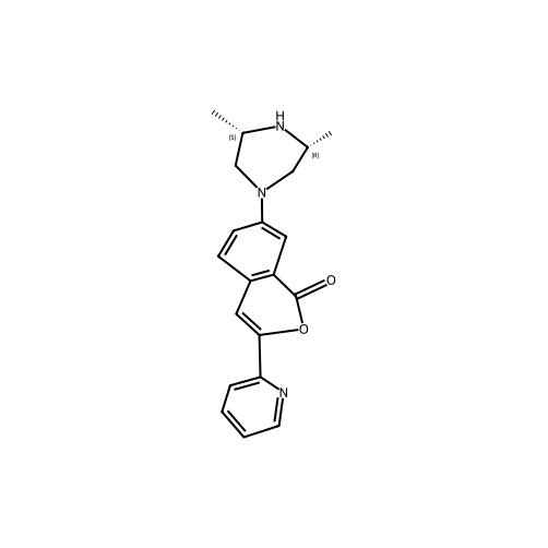 C[C@@H]1CN(c2ccc3cc(-c4ccccn4)oc(=O)c3c2)C[C@H](C)N1